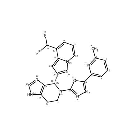 Cc1cccc(-c2nnc(N3CCc4[nH]cnc4[C@@H]3c3cc4c(C(F)F)cccn4n3)o2)n1